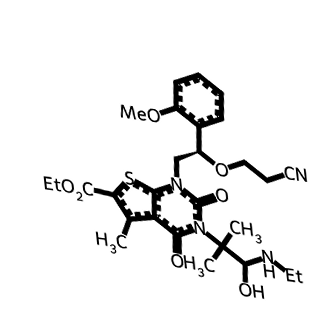 CCNC(O)C(C)(C)n1c(=O)c2c(C)c(C(=O)OCC)sc2n(C[C@H](OCCC#N)c2ccccc2OC)c1=O